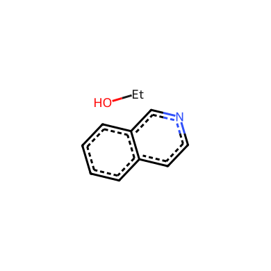 CCO.c1ccc2cnccc2c1